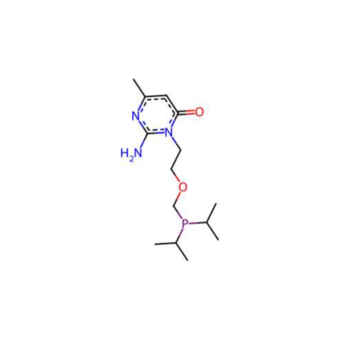 Cc1cc(=O)n(CCOCP(C(C)C)C(C)C)c(N)n1